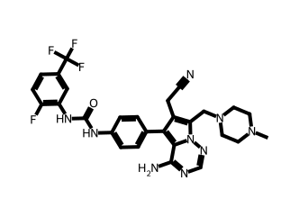 CN1CCN(Cc2c(CC#N)c(-c3ccc(NC(=O)Nc4cc(C(F)(F)F)ccc4F)cc3)c3c(N)ncnn23)CC1